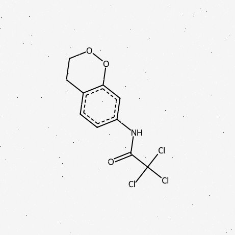 O=C(Nc1ccc2c(c1)OOCC2)C(Cl)(Cl)Cl